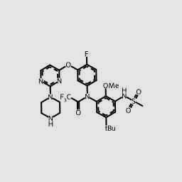 COc1c(NS(C)(=O)=O)cc(C(C)(C)C)cc1N(C(=O)C(F)(F)F)c1ccc(F)c(Oc2ccnc(N3CCNCC3)n2)c1